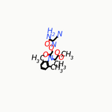 COC(=O)C(C)N(C(=O)CON=C(C#N)C(N)=O)c1c(C)cccc1C